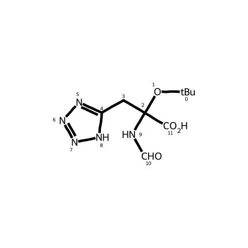 CC(C)(C)OC(Cc1nnn[nH]1)(NC=O)C(=O)O